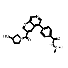 C[S+]([O-])NC(=O)c1ccc(-c2cncc3ncc(C(=O)N4CCC(O)C4)cc23)cc1